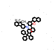 CC1(C)c2ccccc2-c2ccc(N(c3ccc4c(c3)C(c3ccccc3)(c3ccccc3)c3ccccc3-4)c3ccc4c(oc5c6ccccc6ccc45)c3-c3ccccc3)cc21